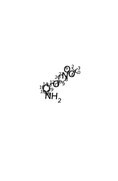 CC(C)(C)OC(=O)N1CCC(OCc2cccc(N)c2)CC1